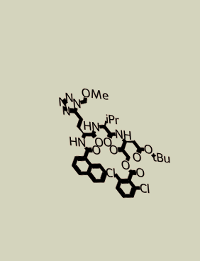 COCn1nnnc1CC[C@H](NC(=O)c1cccc2ccccc12)C(=O)N[C@H](C(=O)N[C@@H](CC(=O)OC(C)(C)C)C(=O)COC(=O)c1c(Cl)cccc1Cl)C(C)C